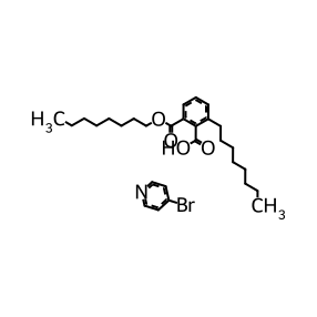 Brc1ccncc1.CCCCCCCCOC(=O)c1cccc(CCCCCCCC)c1C(=O)O